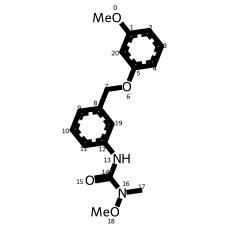 COc1cccc(OCc2cccc(NC(=O)N(C)OC)c2)c1